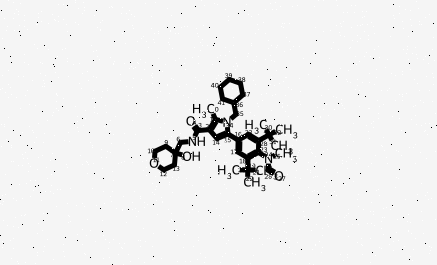 Cc1c(C(=O)NCC2(O)CCOCC2)cc(-c2cc(C(C)(C)C)c(N(C)C=O)c(C(C)(C)C)c2)n1CC1CCCCC1